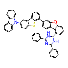 c1ccc(C2=NC(c3ccccc3)NC(c3cccc4oc5cc(-c6cccc7c6sc6ccc(-n8c9ccccc9c9ccccc98)cc67)ccc5c34)N2)cc1